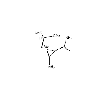 CC(N)C1CC1N.CO[SiH](OC)OC